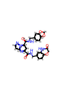 O=C1COc2ccc(CNC(=O)c3cc(C(=O)NCc4ccc5c(c4)OCO5)n4nccc4n3)cc2N1